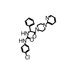 O=C(Nc1ccc(Cl)cc1)NC(C(=O)N1CCN(c2ccccn2)CC1)c1ccccc1